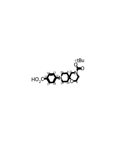 CC(C)(C)OC(=O)N1CCOC2(CCN(c3ccc(C(=O)O)cc3)CC2)C1